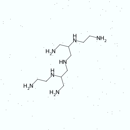 NCCNC(CN)CNCC(CN)NCCN